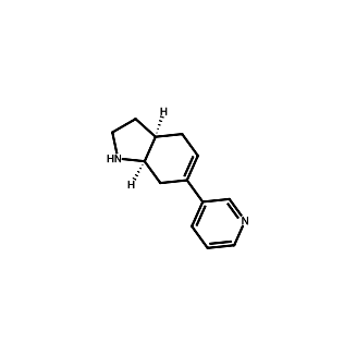 C1=C(c2cccnc2)C[C@H]2NCC[C@H]2C1